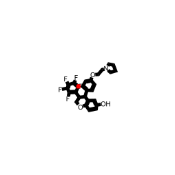 Oc1ccc2c(c1)C(c1ccc(OCCN3CCCC3)cc1)C(c1c(F)c(F)c(F)c(F)c1F)CO2